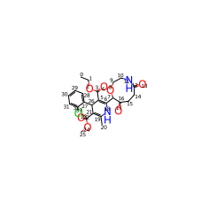 CCOC(=O)C1=C(C2OCCNC(=O)CCC2=O)NC(C)=C(C(=O)OC)C1c1ccccc1Cl